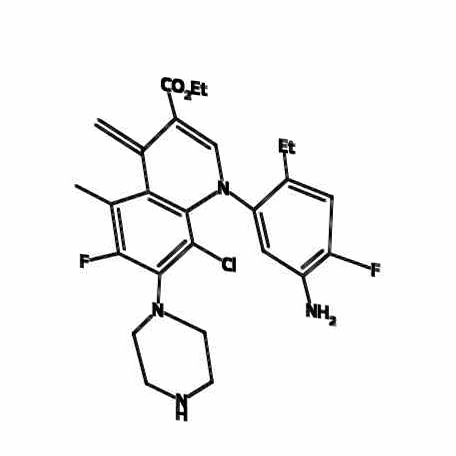 C=C1C(C(=O)OCC)=CN(c2cc(N)c(F)cc2CC)c2c(Cl)c(N3CCNCC3)c(F)c(C)c21